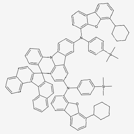 C[Si](C)(C)c1ccc(N(c2ccc3c(c2)c2cc(N(c4ccc([Si](C)(C)C)cc4)c4cccc5c4oc4c(C6CCCCC6)cccc45)cc4c2n3-c2ccccc2C42c3ccc4ccccc4c3-c3c2ccc2ccccc32)c2cccc3c2oc2c(C4CCCCC4)cccc23)cc1